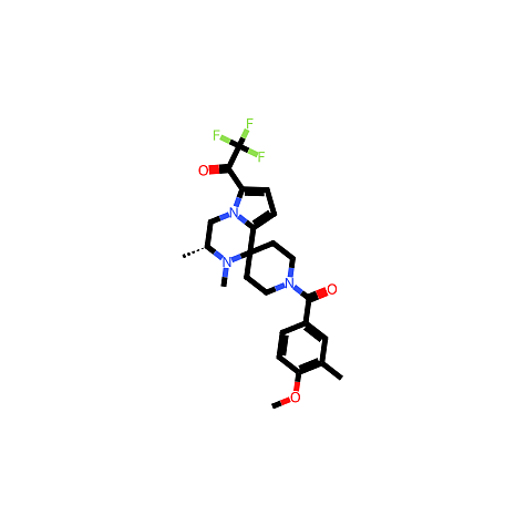 COc1ccc(C(=O)N2CCC3(CC2)c2ccc(C(=O)C(F)(F)F)n2C[C@@H](C)N3C)cc1C